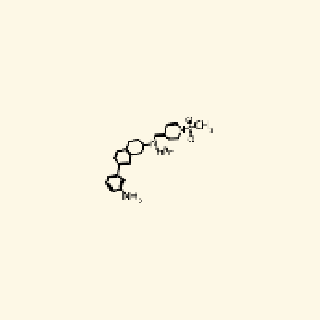 CCCN(CC1CCN(S(C)(=O)=O)CC1)C1CCc2ccc(-c3cccc(N)c3)cc2C1